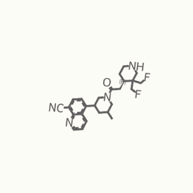 CC1CC(c2ccc(C#N)c3ncccc23)CN(C(=O)C[C@H]2CCNCC2(CF)CF)C1